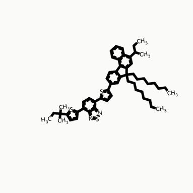 CCCCCCCCC1(CCCCCCCC)c2cc(-c3ccc(-c4ccc(-c5ccc(C(C)(C)CC)s5)c5nsnc45)s3)ccc2-c2c1cc(C(C)CC)c1ccccc21